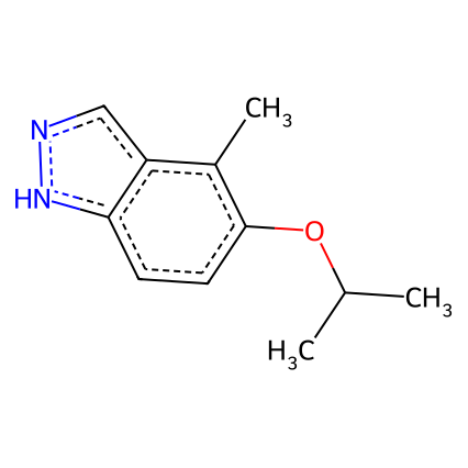 Cc1c(OC(C)C)ccc2[nH]ncc12